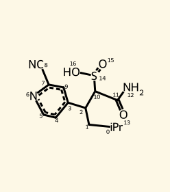 CC(C)CC(c1ccnc(C#N)c1)C(C(N)=O)S(=O)O